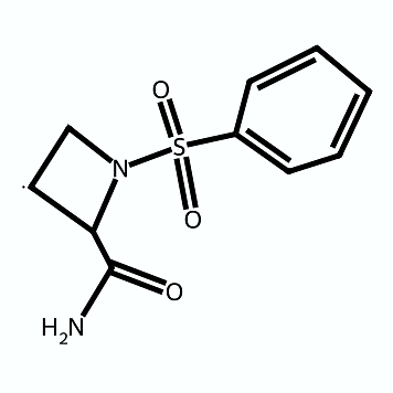 NC(=O)C1[CH]CN1S(=O)(=O)c1ccccc1